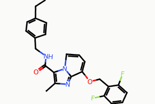 CCc1ccc(CNC(=O)c2c(C)nc3c(OCc4c(F)cccc4F)cccn23)cc1